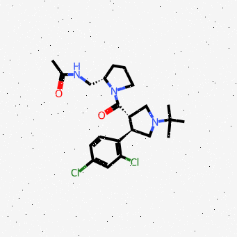 CC(=O)NC[C@@H]1CCCN1C(=O)[C@@H]1CN(C(C)(C)C)C[C@H]1c1ccc(Cl)cc1Cl